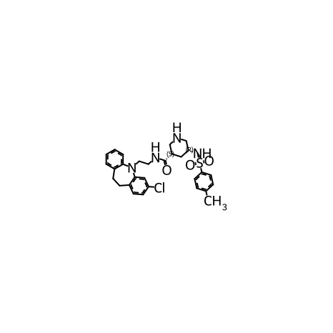 Cc1ccc(S(=O)(=O)N[C@H]2CNC[C@@H](C(=O)NCCN3c4ccccc4CCc4ccc(Cl)cc43)C2)cc1